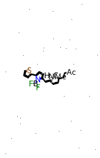 C=C(/C=C\C(=C\c1ccc(-c2cccs2)n1B(F)F)NC)CCC(C)=O